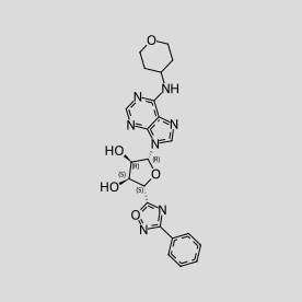 O[C@@H]1[C@H](O)[C@@H](c2nc(-c3ccccc3)no2)O[C@H]1n1cnc2c(NC3CCOCC3)ncnc21